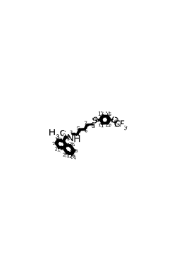 C[C@@H](NCCCCCCSc1ccc(OC(F)(F)F)cc1)c1cccc2ccccc12